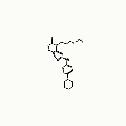 COCCCn1c(=O)ccc2cnc(Nc3ccc(N4CCCCC4)cc3)nc21